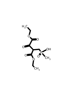 CCOC(=O)C(=O)C(CP(C)(=O)O)C(=O)OCC